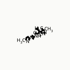 Cc1ccc(N2CC(NC(=O)c3sc4nnc(C)c(C)c4c3C3CC3)C2)cn1